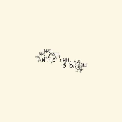 C=C(CCNC(=O)COC1=C2CCCC(=C1)C(Cl)C2F)Nc1cnc2nccnc2c1